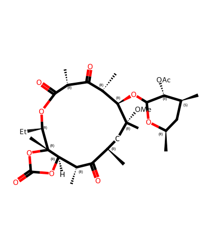 CC[C@H]1OC(=O)[C@H](C)C(=O)[C@H](C)[C@@H](OC2O[C@H](C)C[C@H](C)[C@H]2OC(C)=O)[C@](C)(OC)C[C@@H](C)C(=O)[C@H](C)[C@H]2OC(=O)O[C@@]21C